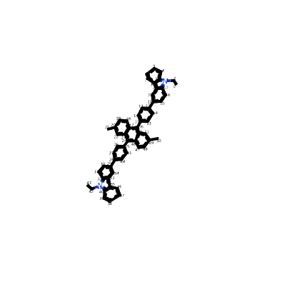 CCn1c2ccccc2c2cc(-c3ccc(-c4c5ccc(C)cc5c(-c5ccc(-c6ccc7c(c6)c6ccccc6n7CC)cc5)c5ccc(C)cc45)cc3)ccc21